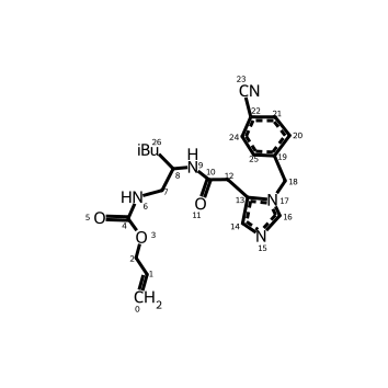 C=CCOC(=O)NCC(NC(=O)Cc1cncn1Cc1ccc(C#N)cc1)C(C)CC